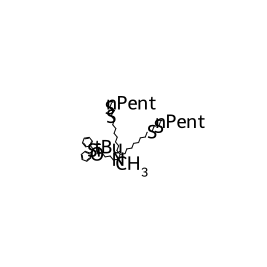 CCCCCSCSCCCCCCCCC(CCCCCCCCSCSCCCCC)N(C)CCCCO[Si](c1ccccc1)(c1ccccc1)C(C)(C)C